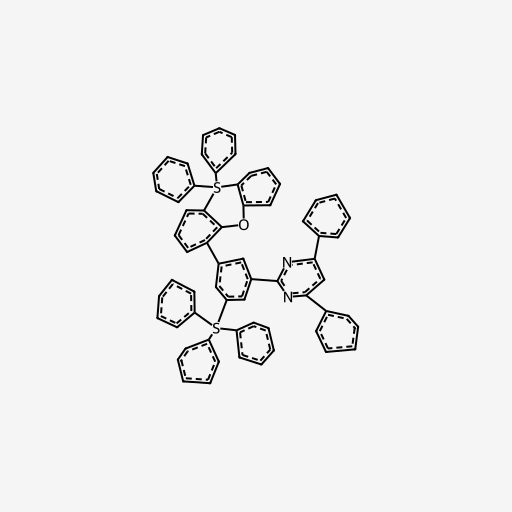 c1ccc(-c2cc(-c3ccccc3)nc(-c3cc(-c4cccc5c4Oc4ccccc4S5(c4ccccc4)c4ccccc4)cc(S(c4ccccc4)(c4ccccc4)c4ccccc4)c3)n2)cc1